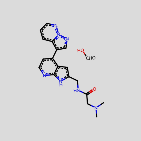 CN(C)CC(=O)NCc1cc2c(-c3cnn4ncccc34)ccnc2[nH]1.O=CO